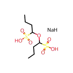 CCCC(OC(CCC)S(=O)(=O)O)S(=O)(=O)O.[NaH]